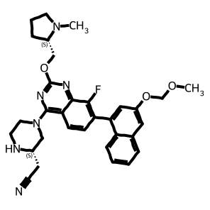 COCOc1cc(-c2ccc3c(N4CCN[C@@H](CC#N)C4)nc(OC[C@@H]4CCCN4C)nc3c2F)c2ccccc2c1